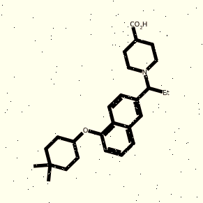 CCC(c1ccc2c(OC3CCC(C)(C)CC3)cccc2c1)N1CCC(C(=O)O)CC1